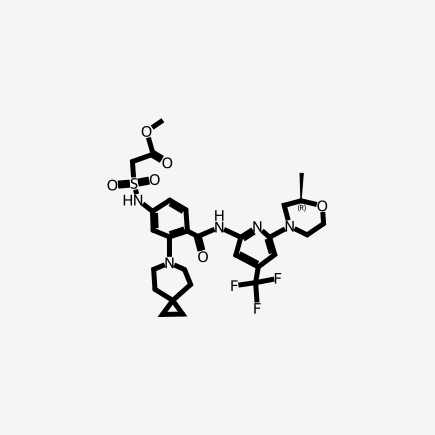 COC(=O)CS(=O)(=O)Nc1ccc(C(=O)Nc2cc(C(F)(F)F)cc(N3CCO[C@H](C)C3)n2)c(N2CCC3(CC2)CC3)c1